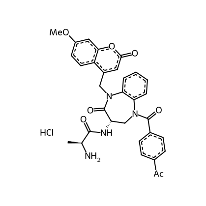 COc1ccc2c(CN3C(=O)[C@@H](NC(=O)[C@H](C)N)CN(C(=O)c4ccc(C(C)=O)cc4)c4ccccc43)cc(=O)oc2c1.Cl